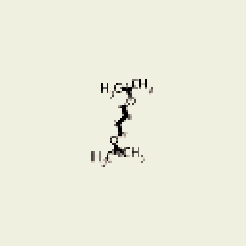 CC(C)OCCCCOC(C)C